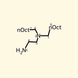 CCCCCCCCCN(CCN)CCCCCCCCC